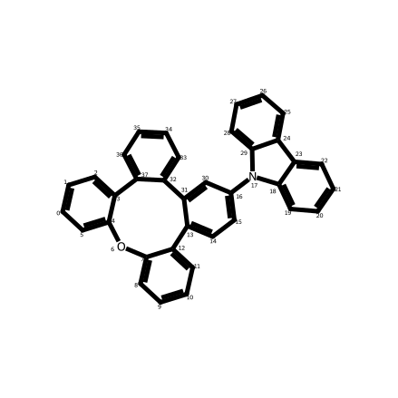 c1ccc2c(c1)oc1ccccc1c1ccc(-n3c4ccccc4c4ccccc43)cc1c1ccccc21